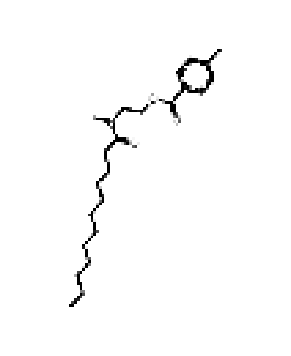 CCCCCCCCCCCC(=O)N(C)CCOC(=O)c1ccc(C)cc1